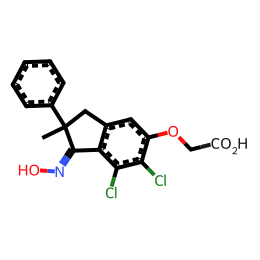 CC1(c2ccccc2)Cc2cc(OCC(=O)O)c(Cl)c(Cl)c2C1=NO